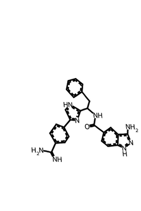 N=C(N)c1ccc(-c2c[nH]c(C(Cc3ccccc3)NC(=O)c3ccc4[nH]nc(N)c4c3)n2)cc1